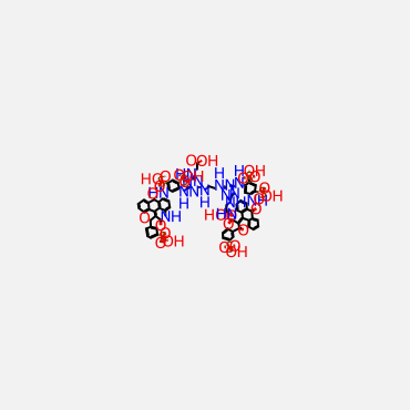 O=C(O)CNc1nc(NCCNc2nc(NCC(=O)O)nc(Nc3cc(Nc4ccc5[nH]c(=O)c(C(=O)c6cccc(S(=O)(=O)O)c6)c6c5c4C(=O)c4ccccc4-6)c(S(=O)(=O)O)cc3S(=O)(=O)O)n2)nc(Nc2cc(Nc3ccc4[nH]c(=O)c(C(=O)c5cccc(S(=O)(=O)O)c5)c5c4c3C(=O)c3ccccc3-5)c(S(=O)(=O)O)cc2S(=O)(=O)O)n1